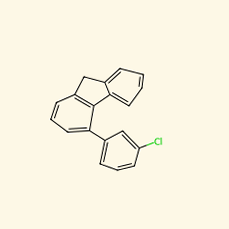 Clc1cccc(-c2cccc3c2-c2ccccc2C3)c1